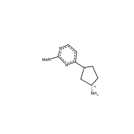 CNc1nccc(N2CC[C@H](N)C2)n1